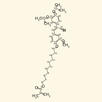 C=C(C)C(=O)OCCCCCCCCCCCOc1ccc(C=C(C#N)c2ccc(OC(C)C)c(OC(C)C)c2)cc1OC